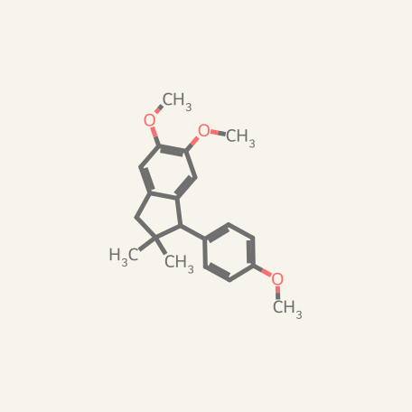 COc1ccc(C2c3cc(OC)c(OC)cc3CC2(C)C)cc1